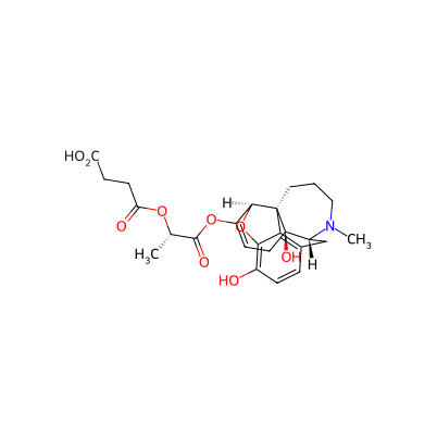 C[C@H](OC(=O)CCC(=O)O)C(=O)OC1=CC[C@@]2(O)[C@H]3Cc4ccc(O)c5c4[C@@]2(CCCN3C)[C@H]1O5